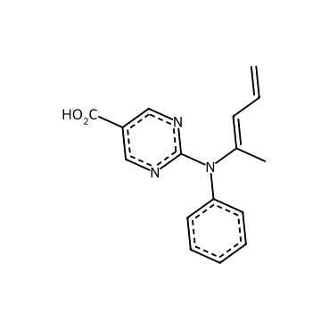 C=C/C=C(\C)N(c1ccccc1)c1ncc(C(=O)O)cn1